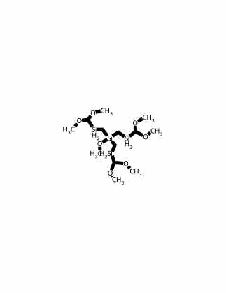 COC(OC)[SiH2]C[Si](C[SiH2]C(OC)OC)(C[SiH2]C(OC)OC)OC